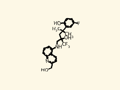 CC(C)(CC(O)(CNc1cccc2nc(CO)ccc12)C(F)(F)F)c1cc(F)ccc1O